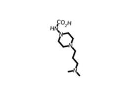 CN(C)CCCN1CCN(NC(=O)O)CC1